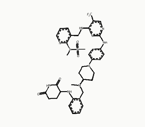 CN(Cc1ccccc1NC1CCC(=O)NC1=O)C1CCN(c2ccc(Nc3ncc(C(F)(F)F)c(NCc4cccnc4N(C)S(C)(=O)=O)n3)cc2)CC1